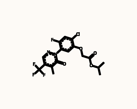 Cc1c(C(F)(F)F)cnn(-c2cc(OCC(=O)OC(C)C)c(Cl)cc2F)c1=O